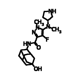 CN(c1c(F)c(C(=O)NC2C3CC4CC2CC(O)(C4)C3)nn1C)[C@H]1CCNC1